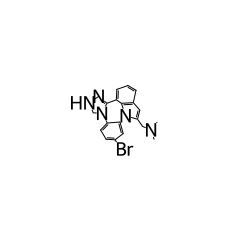 CN(C)Cc1cc2cccc3c4n(c5ccc(Br)cc5n1c23)CNN=4